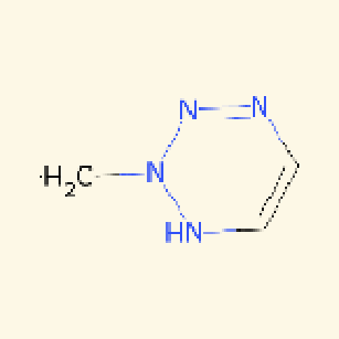 [CH2]N1N=NC=CN1